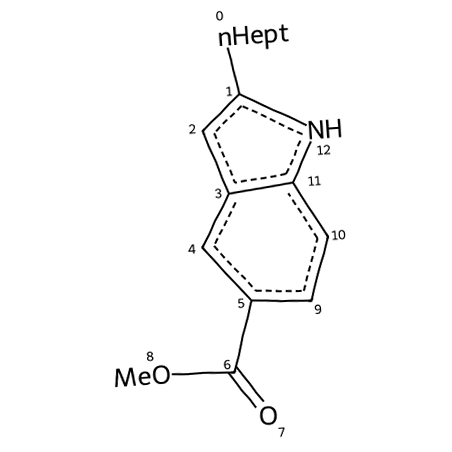 CCCCCCCc1cc2cc(C(=O)OC)ccc2[nH]1